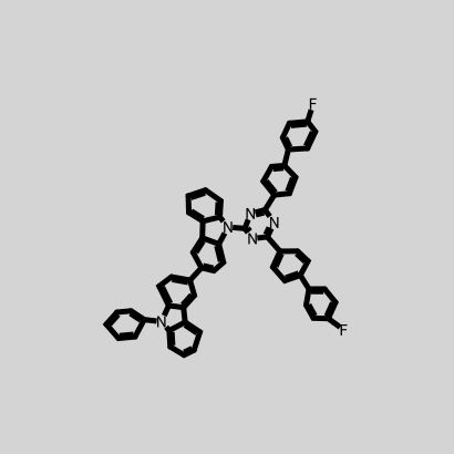 Fc1ccc(-c2ccc(-c3nc(-c4ccc(-c5ccc(F)cc5)cc4)nc(-n4c5ccccc5c5cc(-c6ccc7c(c6)c6ccccc6n7-c6ccccc6)ccc54)n3)cc2)cc1